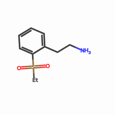 CCS(=O)(=O)c1ccccc1CCN